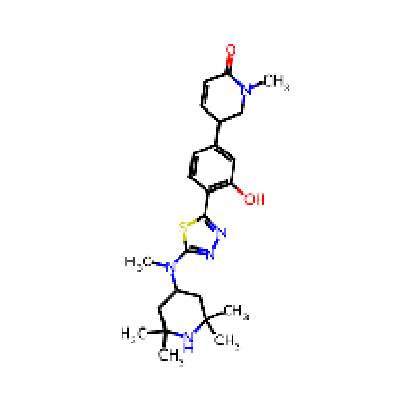 CN1CC(c2ccc(-c3nnc(N(C)C4CC(C)(C)NC(C)(C)C4)s3)c(O)c2)C=CC1=O